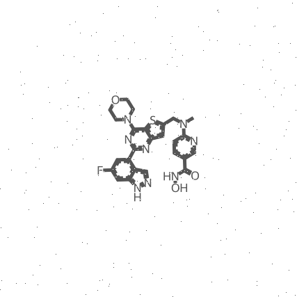 CN(Cc1cc2nc(-c3cc(F)cc4[nH]ncc34)nc(N3CCOCC3)c2s1)c1ccc(C(=O)NO)cn1